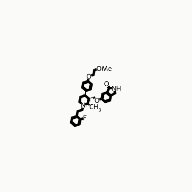 COCCOc1ccc([C@@H]2CCN(CCc3ccccc3F)[C@H](C)[C@H]2COc2ccc3c(c2)C(=O)NC3)cc1